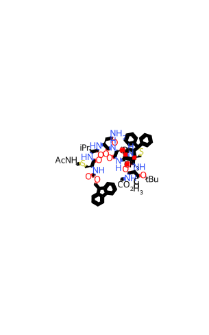 CC(=O)NCSC[C@H](NC(=O)OCC1c2ccccc2-c2ccccc21)C(=O)N[C@H](C(=O)N[C@@H](CC(N)=O)C(=O)N[C@H](C(=O)N[C@@H](C)C(=O)N[C@@H](CSC(c1ccccc1)(c1ccccc1)c1ccccc1)C(=O)N[C@H](C(=O)NCC(=O)O)[C@@H](C)OC(C)(C)C)C(C)C)C(C)C